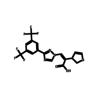 O=C(O)C(=Cn1cnc(-c2cc(C(F)(F)F)cc(C(F)(F)F)c2)n1)C1C=COC1